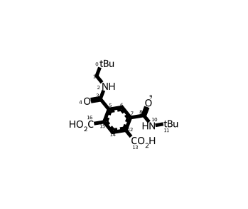 CC(C)(C)CNC(=O)c1cc(C(=O)NC(C)(C)C)c(C(=O)O)cc1C(=O)O